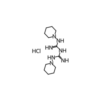 Cl.N=C(NC(=N)NN1CCCCC1)NN1CCCCC1